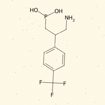 NCC(CP(O)O)c1ccc(C(F)(F)F)cc1